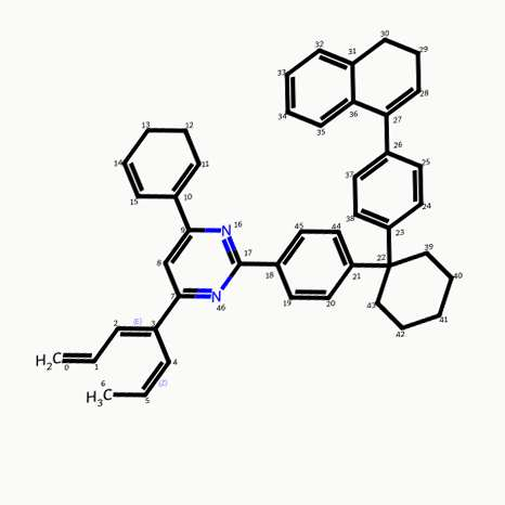 C=C/C=C(\C=C/C)c1cc(C2=CCCC=C2)nc(-c2ccc(C3(c4ccc(C5=CCCc6ccccc65)cc4)CCCCC3)cc2)n1